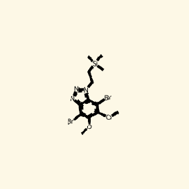 COc1c(OC)c(Br)c2c(nnn2CC[Si](C)(C)C)c1Br